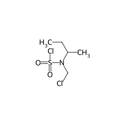 CCC(C)N(CCl)S(=O)(=O)Cl